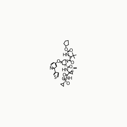 C=C[C@@H]1C[C@]1(NC(=O)[C@@H]1C[C@@H](Oc2ccnc(-c3ccsc3)c2)CN1C(=O)[C@@H](NC(=O)OC1CCCC1)C(C)(C)C)C(=O)NS(=O)(=O)C1CC1